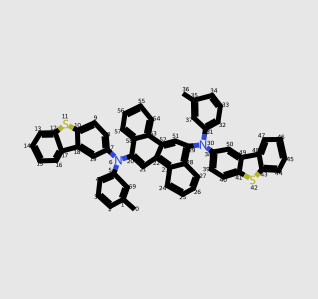 Cc1cccc(N(c2ccc3sc4ccccc4c3c2)c2cc3c4ccccc4c(N(c4cccc(C)c4)c4ccc5sc6ccccc6c5c4)cc3c3ccccc23)c1